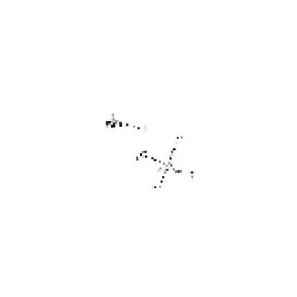 CCC[CH]O[Si](C)(C)C